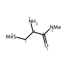 CNC(=O)C(N)CSC